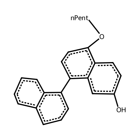 CCCCCOc1ccc(-c2cccc3ccccc23)c2cc(O)ccc12